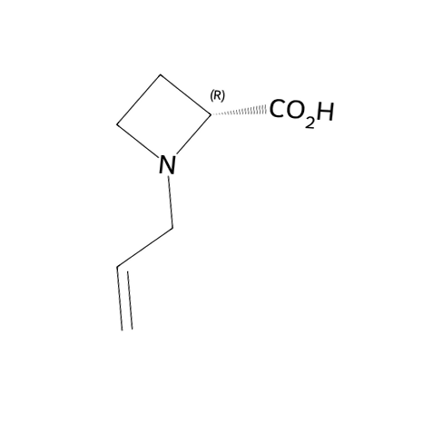 C=CCN1CC[C@@H]1C(=O)O